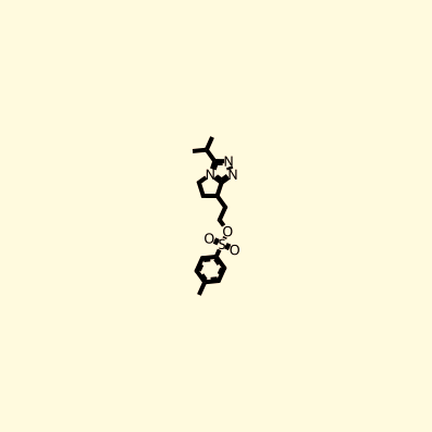 Cc1ccc(S(=O)(=O)OCCC2CCn3c(C(C)C)nnc32)cc1